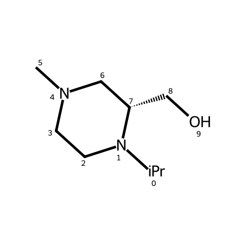 CC(C)N1CCN(C)C[C@@H]1CO